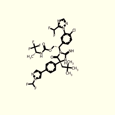 C[C@@H](NC(=O)OC[C@H](c1ccc(Cl)c(-n2ncnc2C(F)F)c1)N1C(=N)N[C@](CC(C)(C)C)(c2ccc(-c3cnn(C(F)F)c3)cc2)C1=O)C(F)(F)F